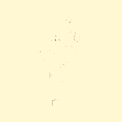 CCOC(=O)c1nc(C2=C(c3cc(Cl)ccc3OCc3ccc(F)cc3F)CCC2)ccc1C